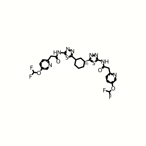 O=C(Cc1ccc(OC(F)F)cn1)Nc1nnc(C2CCC[C@H](c3nnc(NC(=O)Cc4ccc(OC(F)F)cn4)s3)C2)s1